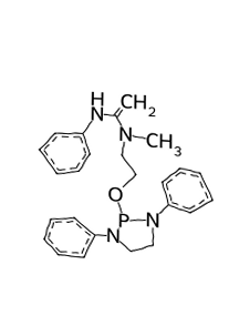 C=C(Nc1ccccc1)N(C)CCOP1N(c2ccccc2)CCN1c1ccccc1